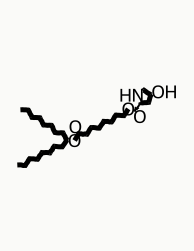 CCCCCCCCC(CCCCCCCC)OC(=O)CCCCCCCOC(=O)[C@@H]1CC(O)CN1